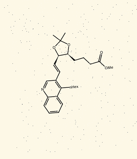 CCCCCCc1c(/C=C/[C@H]2OC(C)(C)O[C@H]2CCCC(=O)OC)cnc2ccccc12